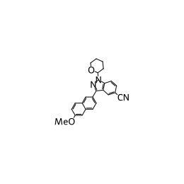 COc1ccc2cc(-c3nn(C4CCCCO4)c4ccc(C#N)cc34)ccc2c1